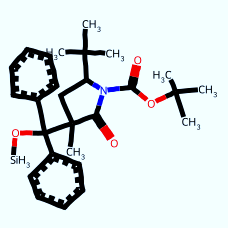 CC(C)(C)OC(=O)N1C(=O)C(C)(C(O[SiH3])(c2ccccc2)c2ccccc2)CC1C(C)(C)C